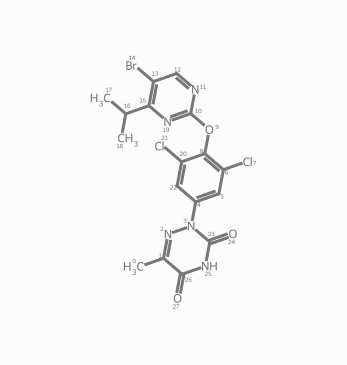 Cc1nn(-c2cc(Cl)c(Oc3ncc(Br)c(C(C)C)n3)c(Cl)c2)c(=O)[nH]c1=O